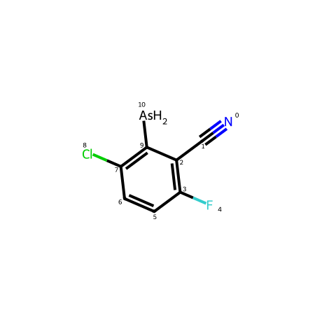 N#Cc1c(F)ccc(Cl)c1[AsH2]